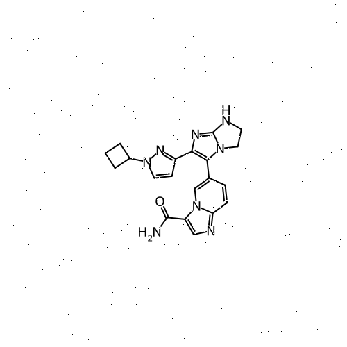 NC(=O)c1cnc2ccc(-c3c(-c4ccn(C5CCC5)n4)nc4n3CCN4)cn12